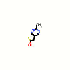 Cc1ncc(CC(O)=S)cn1